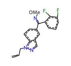 C=CCn1ncc2cc(C(=NOC)c3cccc(F)c3F)ccc21